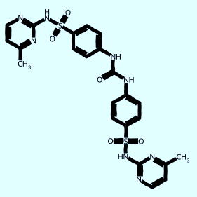 Cc1ccnc(NS(=O)(=O)c2ccc(NC(=O)Nc3ccc(S(=O)(=O)Nc4nccc(C)n4)cc3)cc2)n1